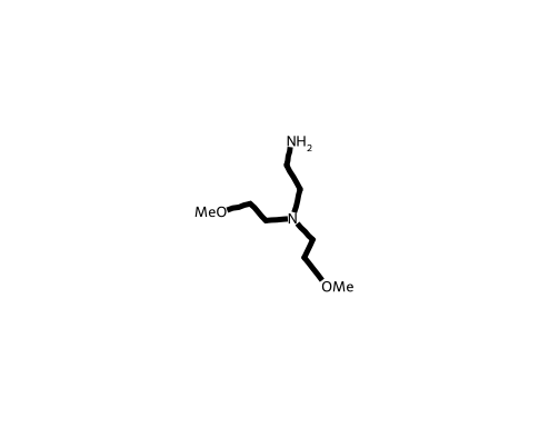 COCCN(CCN)CCOC